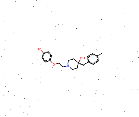 Cc1ccc(CC2(O)CCN(CCOc3ccc(O)cc3)CC2)cc1